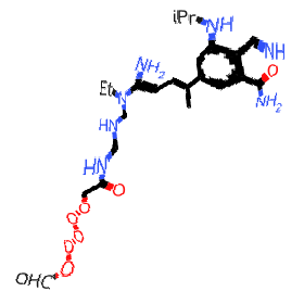 CCN(CNCNC(=O)COOOOOC=O)/C(N)=C/C=C(\C)c1cc(NC(C)C)c(C=N)c(C(N)=O)c1